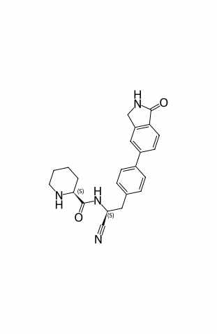 N#C[C@H](Cc1ccc(-c2ccc3c(c2)CNC3=O)cc1)NC(=O)[C@@H]1CCCCN1